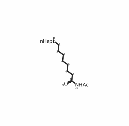 CCCCCCCCCCCCCCC(=O)NC(C)=O